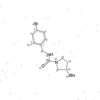 Cc1cc(Br)ccc1CNC(=O)N1CCC(C(C)(C)C)C1